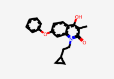 Cc1c(O)c2ccc(Oc3ccccc3)cc2n(CCC2CC2)c1=O